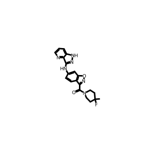 CC1(F)CCN(C(=O)c2noc3cc(Nc4n[nH]c5cccnc45)ccc23)CC1